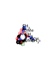 COc1nn(C)cc1C(=O)/N=C/S1(=O)=NC(=O)c2ccc3c(c2)N(C[C@@H]2CC[C@H]2[C@@H](OC)/C=C/[C@H](OCCN2CC(N(C)C)C2)[C@H](C)C1)C[C@@]1(CCCc2cc(Cl)ccc21)CO3